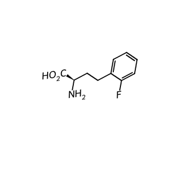 N[C@H](CCc1ccccc1F)C(=O)O